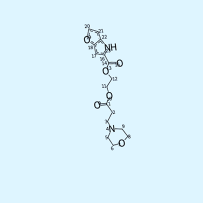 O=C(CCN1CCOCC1)OCCOC(=O)c1cc2occc2[nH]1